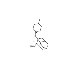 C=C[C@]1(C)C2CC3CC(C2)CC1(ON1CCC(C)CC1)C3